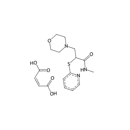 CNC(=O)C(CN1CCOCC1)Sc1ccccn1.O=C(O)/C=C\C(=O)O